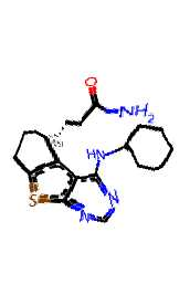 NC(=O)CC[C@H]1CCc2sc3ncnc(NC4CCCCC4)c3c21